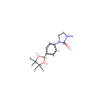 CN1CCN(c2ccc(B3OC(C)(C)C(C)(C)O3)cc2)C1=O